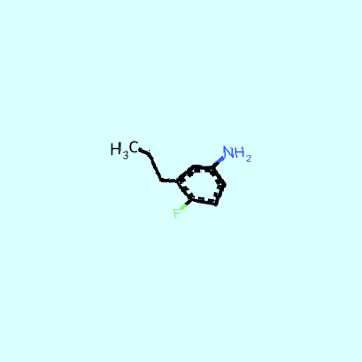 C[CH]Cc1cc(N)ccc1F